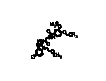 CCOc1ccc(C(=O)NCC(=O)Nc2nc3cc(Cl)ccc3n2CCOC)cc1OC